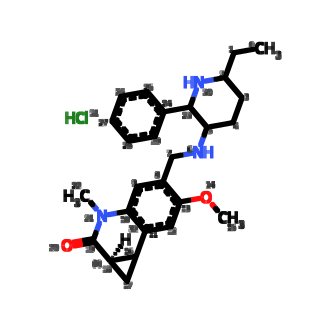 CCC1CCC(NCc2cc3c(cc2OC)C2C[C@H]2C(=O)N3C)C(c2ccccc2)N1.Cl